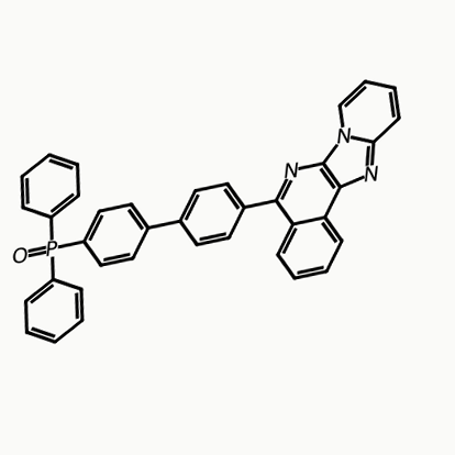 O=P(c1ccccc1)(c1ccccc1)c1ccc(-c2ccc(-c3nc4c(nc5ccccn54)c4ccccc34)cc2)cc1